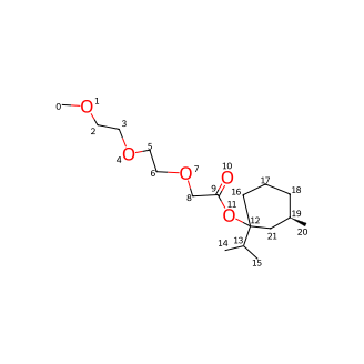 COCCOCCOCC(=O)OC1(C(C)C)CCC[C@@H](C)C1